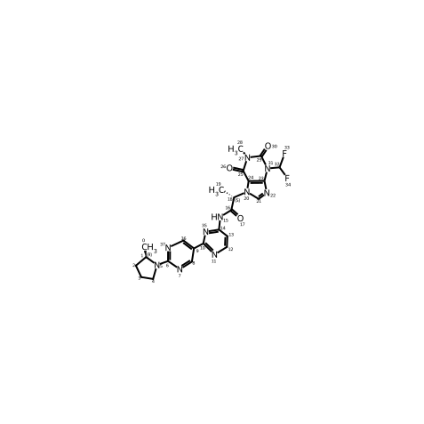 C[C@@H]1CCCN1c1ncc(-c2nccc(NC(=O)[C@H](C)n3cnc4c3c(=O)n(C)c(=O)n4C(F)F)n2)cn1